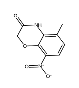 Cc1ccc([N+](=O)[O-])c2c1NC(=O)CO2